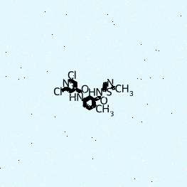 Cc1ncc(NC(=O)c2cc(NC(=O)c3cc(Cl)nc(Cl)c3)ccc2C)s1